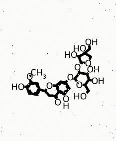 COc1cc(C2CC(=O)c3c(O)cc(OC4OC(CO)C(O)C(O)C4OC4OCC(O)(CO)C4O)cc3O2)ccc1O